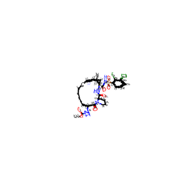 CC(C)(C)OC(=O)N[C@H]1CCCCC/C=C\[C@@H]2C[C@@]2(C(=O)NS(=O)(=O)c2cccc(Cl)c2F)NC(=O)[C@@H]2CCCN2C1=O